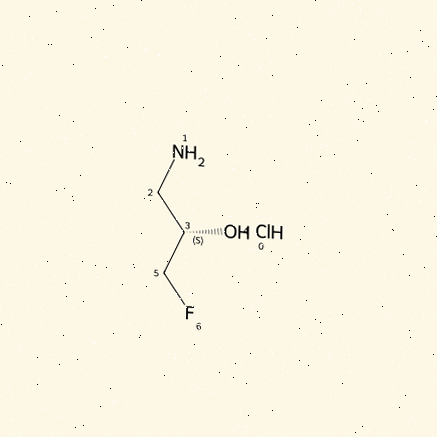 Cl.NC[C@H](O)CF